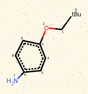 CC(C)(C)COc1[c]cc(N)cc1